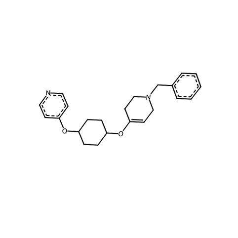 C1=C(OC2CCC(Oc3ccncc3)CC2)CCN(Cc2ccccc2)C1